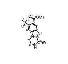 COC(=O)c1cc2nc3n(c2cc1S(C)(=O)=O)CCNC3C(C)C